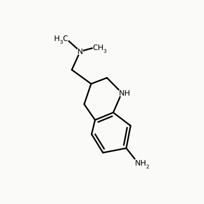 CN(C)CC1CNc2cc(N)ccc2C1